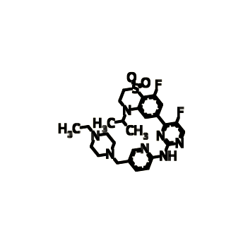 CCN1CCN(Cc2ccc(Nc3ncc(F)c(-c4cc(F)c5c(c4)N(C(C)C)CCS5(=O)=O)n3)nc2)CC1